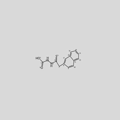 O=C(O)NNC(=S)Cc1ccc2ccccc2c1